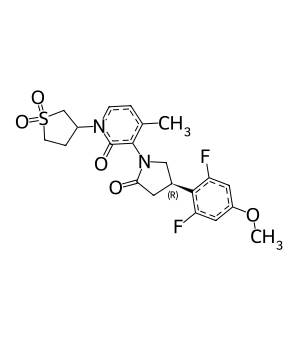 COc1cc(F)c([C@H]2CC(=O)N(c3c(C)ccn(C4CCS(=O)(=O)C4)c3=O)C2)c(F)c1